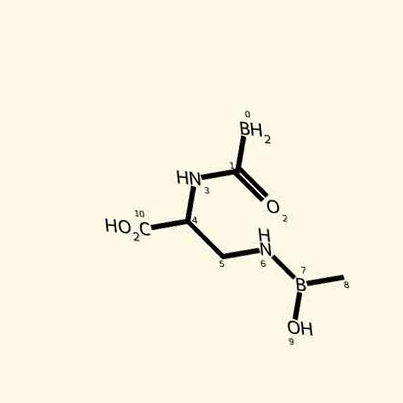 BC(=O)NC(CNB(C)O)C(=O)O